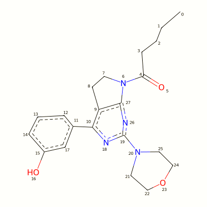 CCCCC(=O)N1CCc2c(-c3cccc(O)c3)nc(N3CCOCC3)nc21